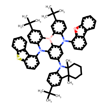 CC(C)(C)c1ccc2c(c1)B1c3cc(C(C)(C)C)ccc3N(c3cccc4sc5ccccc5c34)c3cc(N4c5ccc(C(C)(C)C)cc5C5(C)CCCCC45C)cc(c31)N2c1cccc2c1oc1ccccc12